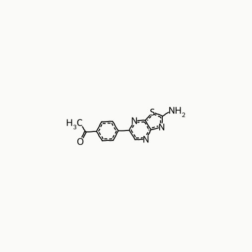 CC(=O)c1ccc(-c2cnc3nc(N)sc3n2)cc1